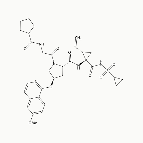 C=C[C@@H]1C[C@]1(NC(=O)[C@@H]1C[C@@H](Oc2nccc3cc(OC)ccc23)CN1C(=O)CNC(=O)C1CCCC1)C(=O)NS(=O)(=O)C1CC1